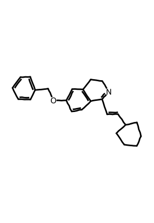 C(=CC1CCCCC1)C1=NCCc2cc(OCc3ccccc3)ccc21